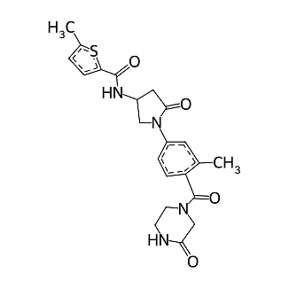 Cc1ccc(C(=O)NC2CC(=O)N(c3ccc(C(=O)N4CCNC(=O)C4)c(C)c3)C2)s1